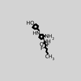 CCCC[C@@H](F)[C@H](F)C(=O)Nc1ccc(NCc2ccc(O)cc2)cc1N